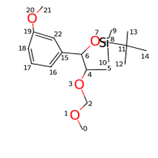 COCOC(C)C(O[Si](C)(C)C(C)(C)C)c1cccc(OC)c1